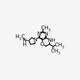 CN[C@@H]1CCN(c2nc(C)nc3c2OCC(C(C)C)N3)C1